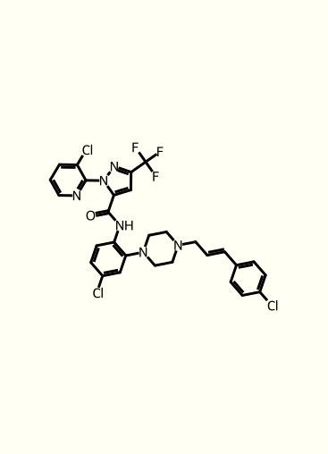 O=C(Nc1ccc(Cl)cc1N1CCN(C/C=C/c2ccc(Cl)cc2)CC1)c1cc(C(F)(F)F)nn1-c1ncccc1Cl